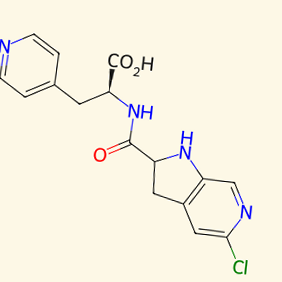 O=C(N[C@@H](Cc1ccncc1)C(=O)O)C1Cc2cc(Cl)ncc2N1